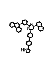 c1c(-c2ccc(-c3cc(-c4cccc5ccccc45)nc(-c4cccc(-c5cc6ccccc6c6ccccc56)c4)n3)cc2)ccc(-c2ccc[nH]2)c#1